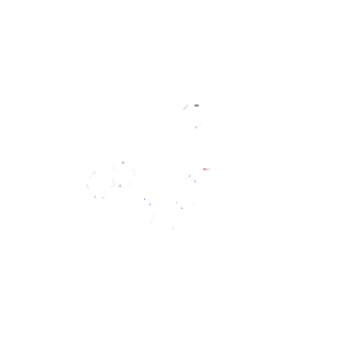 CC(NC(=O)C(CC(=O)O)NC(=O)CCc1ccccc1)C(=O)NCc1cccc2ccccc12